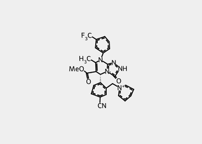 COC(=O)C1=C(C)N(c2cccc(C(F)(F)F)c2)c2n[nH]c(=O)n2[C@@H]1c1ccc(C#N)cc1C[n+]1ccccc1